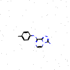 CC(C)(C)c1ccc(Nc2nccn3c(N)nnc23)cc1